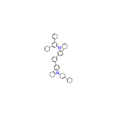 C1=CCCC(c2cc(C3CC=CCC3)cc(N3c4cc(-c5cccc(-c6ccc7c(c6)c6c(n7C7CC=C(C8=CCCCC8)CC7)CCCC6)c5)ccc4C4CCC=CC43)c2)=C1